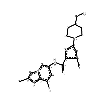 CCNC1CCN(c2cc(F)c(C(=O)Nc3cc(F)c4nc(C)cn4c3)s2)CC1